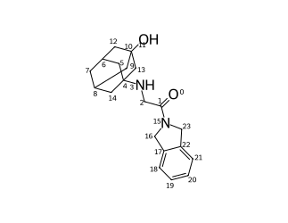 O=C(CNC12CC3CC(CC(O)(C3)C1)C2)N1Cc2ccccc2C1